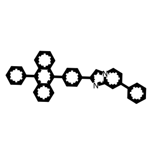 c1ccc(-c2ccn3cc(-c4ccc(-c5c6ccccc6c(-c6ccccc6)c6ccccc56)cc4)nc3c2)cc1